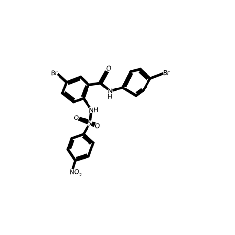 O=C(Nc1ccc(Br)cc1)c1cc(Br)ccc1NS(=O)(=O)c1ccc([N+](=O)[O-])cc1